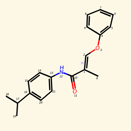 C/C(=C\Oc1ccccc1)C(=O)Nc1ccc(C(C)C)cc1